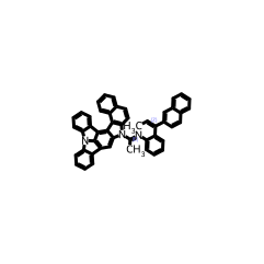 C/C=C(/c1ccc2ccccc2c1)c1ccccc1/N=C(\C)n1c2ccc3ccccc3c2c2c3c4ccccc4n4c5ccccc5c(cc21)c34